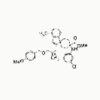 COC(=O)C1(Nc2cccc(Cl)c2)CCC2(CC1)C(C[C@@H](C)COCc1ccc(OC)cc1)=Cc1c(C)cccc12